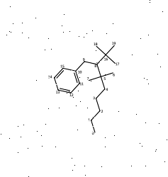 CCCCCC(C)(C)[C](Cc1ccccc1)C(C)(C)C